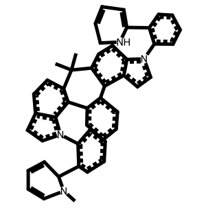 CN1C=CC=CC1c1ccccc1-n1ccc2ccc3c(c21)-c1ccccc1-c1c(ccc2c1ccn2-c1ccccc1C1=CC=CCN1)C3(C)C